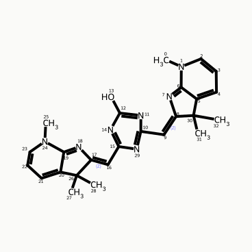 CN1C=CC=C2C1=N/C(=C\c1nc(O)nc(/C=C3\N=C4C(=CC=CN4C)C3(C)C)n1)C2(C)C